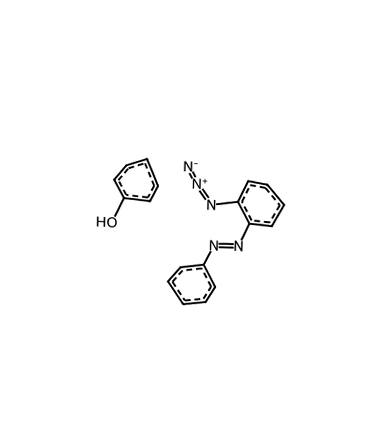 Oc1ccccc1.[N-]=[N+]=Nc1ccccc1N=Nc1ccccc1